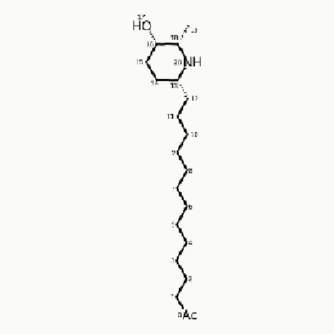 CC(=O)CCCCCCCCCCCC[C@@H]1CC[C@H](O)[C@H](C)N1